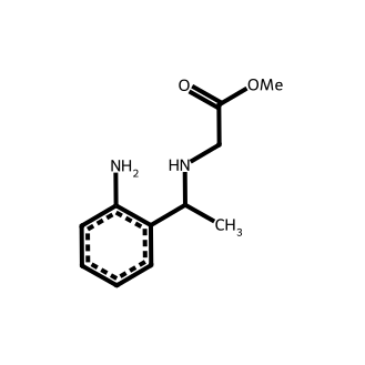 COC(=O)CNC(C)c1ccccc1N